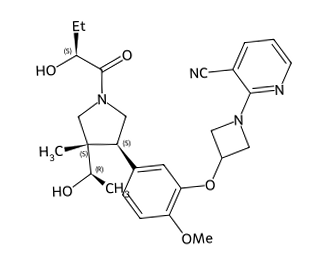 CC[C@H](O)C(=O)N1C[C@@H](c2ccc(OC)c(OC3CN(c4ncccc4C#N)C3)c2)[C@](C)([C@@H](C)O)C1